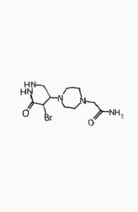 NC(=O)CN1CCN(C2CNNC(=O)C2Br)CC1